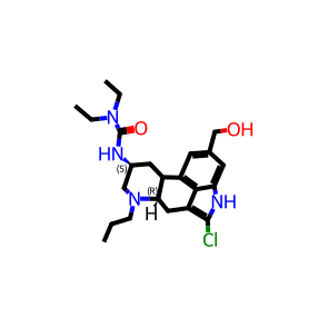 CCCN1C[C@@H](NC(=O)N(CC)CC)CC2c3cc(CO)cc4[nH]c(Cl)c(c34)C[C@H]21